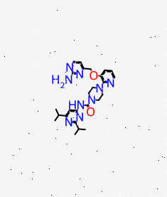 CC(C)c1cc(NC(=O)N2CCN(c3ncccc3OCc3ccnc(N)n3)CC2)nc(C(C)C)n1